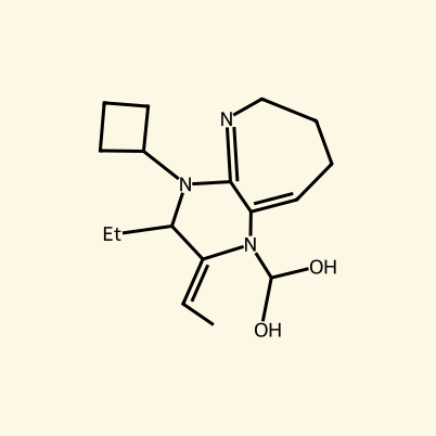 C/C=C1/C(CC)N(C2CCC2)C2=NCCCC=C2N1C(O)O